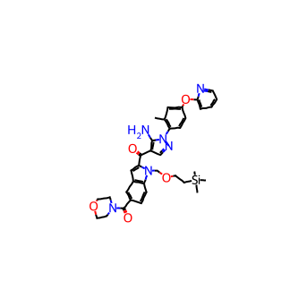 Cc1cc(Oc2ccccn2)ccc1-n1ncc(C(=O)c2cc3cc(C(=O)N4CCOCC4)ccc3n2COCC[Si](C)(C)C)c1N